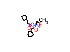 Cc1cc(NC(=O)C(OC(=O)CCC2CCCCC2)C2=CC=CC=CC2)no1